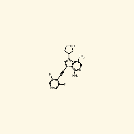 Cc1cnc(N)c2c(C#Cc3c(F)cncc3F)nn(C3CCNC3)c12